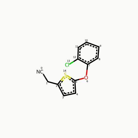 N#CCc1ccc(Oc2ccccc2Cl)s1